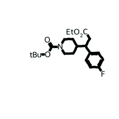 CCOC(=O)CC(c1ccc(F)cc1)C1CCN(C(=O)OC(C)(C)C)CC1